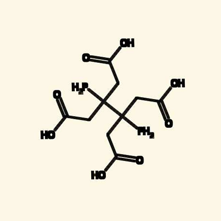 O=C(O)CC(P)(CC(=O)O)C(P)(CC(=O)O)CC(=O)O